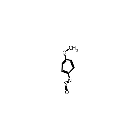 COc1ccc(N=S=O)cc1